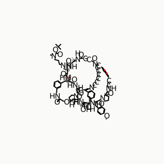 COc1ccc(C[C@@H]2NC(=O)[C@H]([C@@H](C)O)NC(=O)[C@@H]3[C@@H]4CCN3C(=O)[C@@H]3Cc5cn(c6ccc(F)cc56)CCCCCCN(Cc5ccc(cc5)CCNC(=O)[C@]5(C)CCCN5C2=O)C(=O)CCC(=O)N[C@@H](C)C(=O)N[C@H](CNCCCN(C)C(=O)OC(C)(C)C)C(=O)N[C@@H](Cc2cccc(c2)CNC(=O)CO4)C(=O)N3)cc1